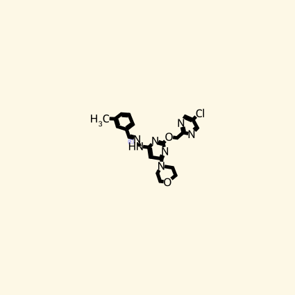 Cc1cccc(/C=N/Nc2cc(N3CCOCC3)nc(OCc3ncc(Cl)cn3)n2)c1